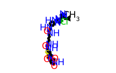 Cn1ncc(-c2nc(N[C@H]3CC[C@H](NCC(=O)NCCCCCNC(=O)NCc4cc5c(s4)C(=O)N(C4CCC(=O)NC4=O)C5)CC3)ncc2Cl)c1CC1CC1